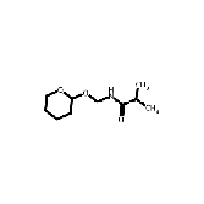 CC(C)C(=O)NCOC1CCCCO1